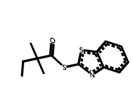 CCC(C)(C)C(=O)Sc1nc2ccccc2s1